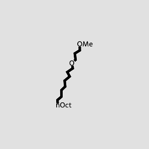 CCCCCCCCCCCCCCCCOCCCOC